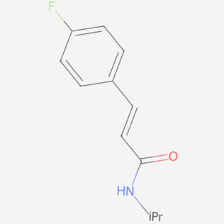 CC(C)NC(=O)/C=C/c1ccc(F)cc1